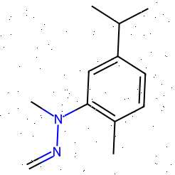 C=NN(C)c1cc(C(C)C)ccc1C